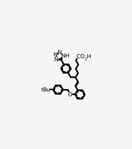 CC(C)(C)c1ccc(COc2ccccc2C=CC(CCCCC(=O)O)Cc2ccc(-c3nnn[nH]3)cc2)cc1